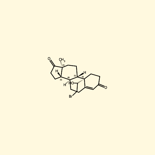 C[C@]12CC[C@H]3[C@@H](CCC4=CC(=O)CC[C@@]43C(O)CBr)[C@@H]1CCC2=O